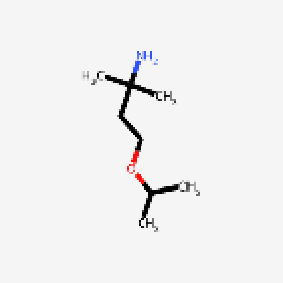 CC(C)OCCC(C)(C)N